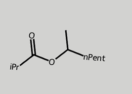 CCCCCC(C)OC(=O)C(C)C